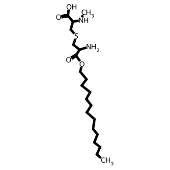 CCCCCCCCCCCCCCOC(=O)C(N)CSCC(NC)C(=O)O